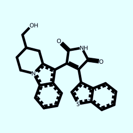 O=C1NC(=O)C(c2c3n(c4ccccc24)CCC(CO)C3)=C1c1csc2ccccc12